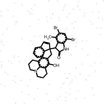 Cc1c(Br)cc(Br)c2c1C(C1(Cc3cc4c5c(c3O)CCCN5CCC4)C=Cc3ccccc31)C(=O)N2